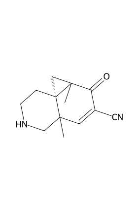 CC12C=C(C#N)C(=O)C3(C)C[C@@]13CCNC2